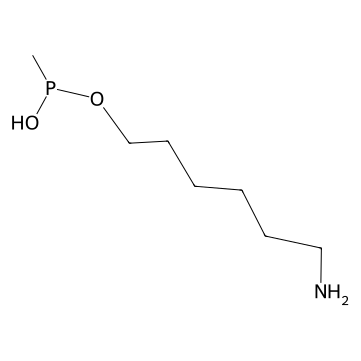 CP(O)OCCCCCCN